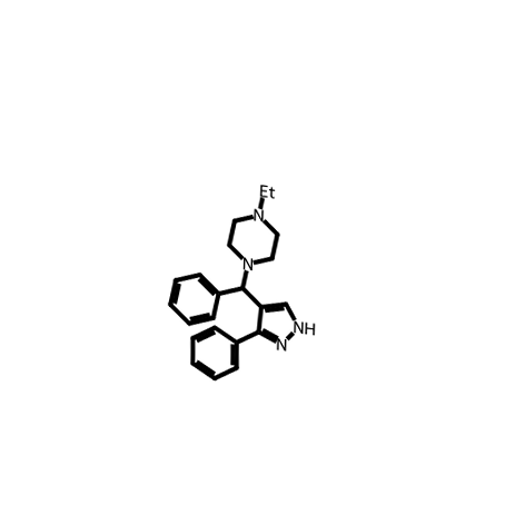 CCN1CCN(C(c2ccccc2)c2c[nH]nc2-c2ccccc2)CC1